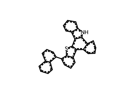 c1ccc2c(-c3cccc4c3sc3c4c4ccccc4c4[nH]c5ccccc5c43)cccc2c1